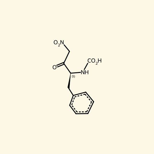 O=C(O)N[C@@H](Cc1ccccc1)C(=O)C[N+](=O)[O-]